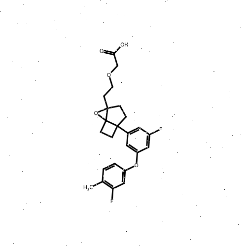 Cc1ccc(Oc2cc(F)cc(C34CCC5(CCOCC(=O)O)OC53CC4)c2)cc1F